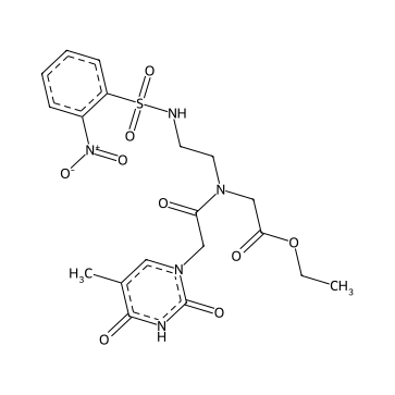 CCOC(=O)CN(CCNS(=O)(=O)c1ccccc1[N+](=O)[O-])C(=O)Cn1cc(C)c(=O)[nH]c1=O